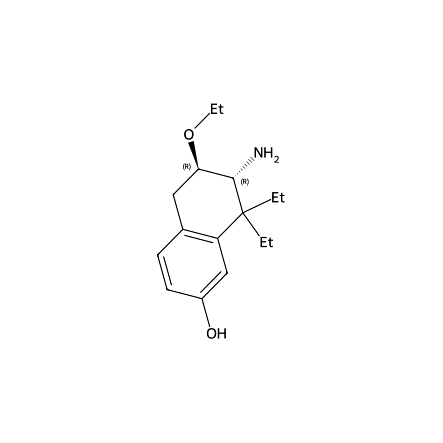 CCO[C@@H]1Cc2ccc(O)cc2C(CC)(CC)[C@H]1N